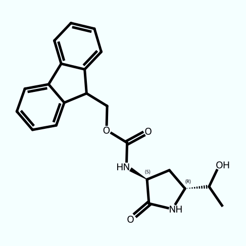 CC(O)[C@H]1C[C@H](NC(=O)OCC2c3ccccc3-c3ccccc32)C(=O)N1